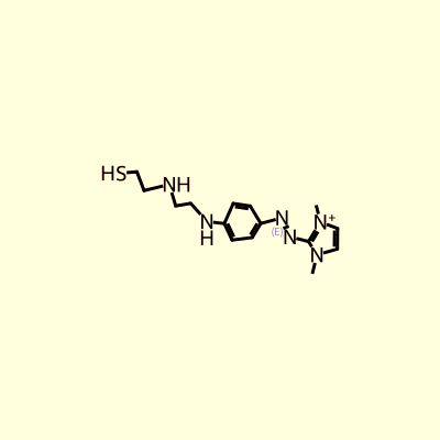 Cn1cc[n+](C)c1/N=N/c1ccc(NCCNCCS)cc1